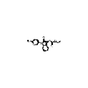 CCOC(=O)Cn1c(=O)n(-c2ccc(Br)nc2)c2ccccc21